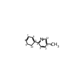 Cc1ccc(C2=CC=CCC2)nc1